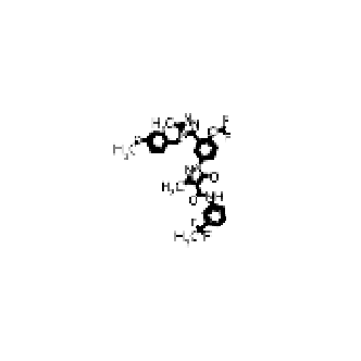 COc1ccc(Cn2c(C)nnc2-c2cc(N3N=C(C)C(C(=O)Nc4cccc(C(C)(F)F)c4)C3=O)ccc2OC(F)F)cc1